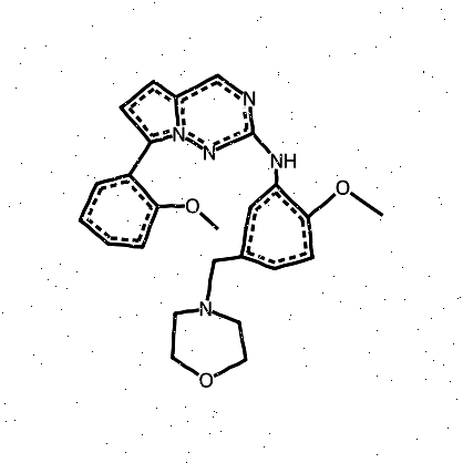 COc1ccc(CN2CCOCC2)cc1Nc1ncc2ccc(-c3ccccc3OC)n2n1